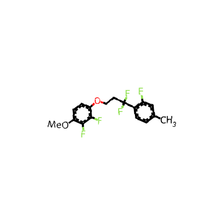 COc1ccc(OCCC(F)(F)c2ccc(C)cc2F)c(F)c1F